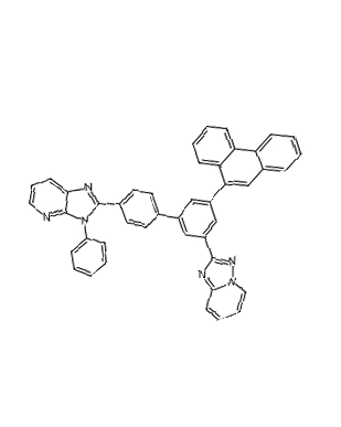 c1ccc(-n2c(-c3ccc(-c4cc(-c5nc6ccccn6n5)cc(-c5cc6ccccc6c6ccccc56)c4)cc3)nc3cccnc32)cc1